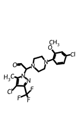 COc1cc(Cl)ccc1N1CCN(C(C=O)n2nc(C(F)(F)F)c(Cl)c2C)CC1